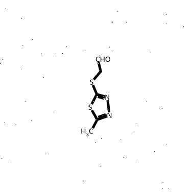 Cc1nnc(SCC=O)s1